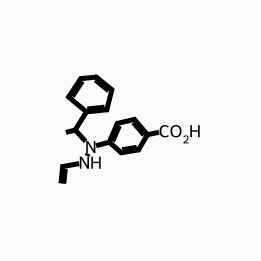 C=CNN(c1ccc(C(=O)O)cc1)C(C)c1ccccc1